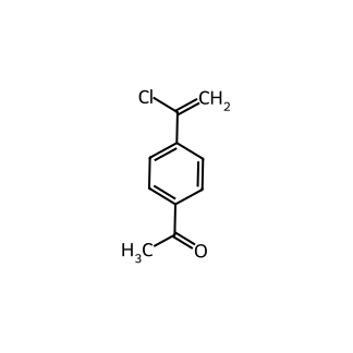 C=C(Cl)c1ccc(C(C)=O)cc1